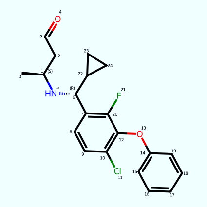 C[C@@H](CC=O)N[C@@H](c1ccc(Cl)c(Oc2ccccc2)c1F)C1CC1